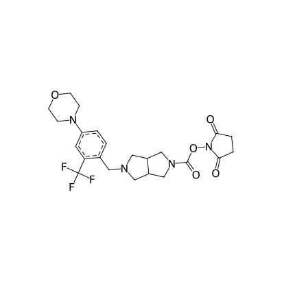 O=C(ON1C(=O)CCC1=O)N1CC2CN(Cc3ccc(N4CCOCC4)cc3C(F)(F)F)CC2C1